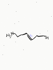 NC/C=C/CS